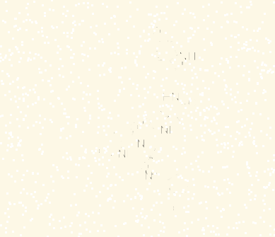 C=C(C(=O)NCCc1c[nH]c2cc(OC)ccc12)[C@H](CCC)NC(=O)[C@@H]1C[C@]2(CC(c3cccc(Cl)c3)=NO2)CN1C(=O)[C@@H](NC(=O)CC1CCCCC1)C(C)(C)C